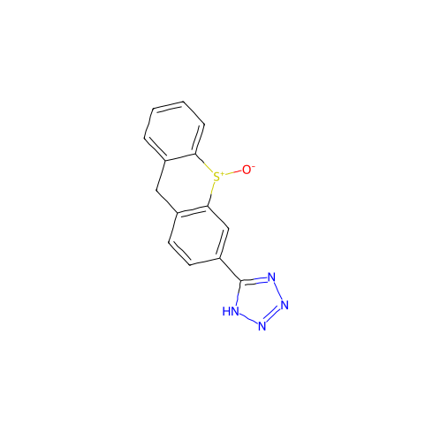 [O-][S+]1c2ccccc2Cc2ccc(-c3nnn[nH]3)cc21